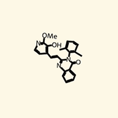 COc1nccc(/C=C/c2nc3ccccc3c(=O)n2-c2c(C)cccc2C)c1O